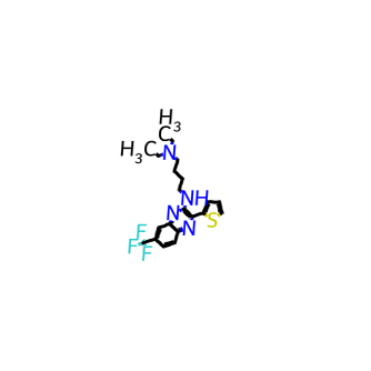 CCN(CC)CCCCNc1nc2cc(C(F)(F)F)ccc2nc1-c1cccs1